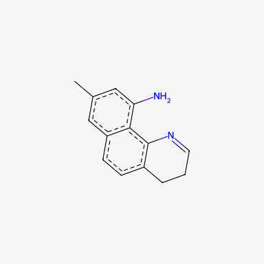 Cc1cc(N)c2c3c(ccc2c1)CCC=N3